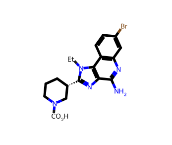 CCn1c([C@H]2CCCN(C(=O)O)C2)nc2c(N)nc3cc(Br)ccc3c21